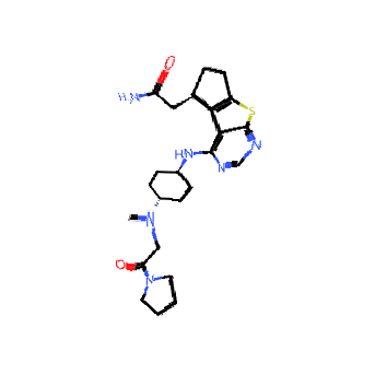 CN(CC(=O)N1CCCC1)[C@H]1CC[C@H](Nc2ncnc3sc4c(c23)[C@@H](CC(N)=O)CC4)CC1